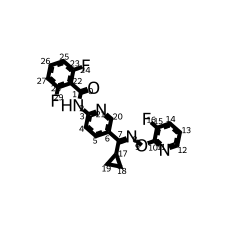 O=C(Nc1ccc(C(=NOc2ncccc2F)C2CC2)cn1)c1c(F)cccc1F